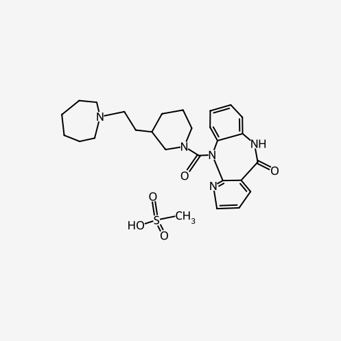 CS(=O)(=O)O.O=C1Nc2ccccc2N(C(=O)N2CCCC(CCN3CCCCCC3)C2)c2ncccc21